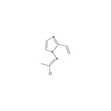 C=Cc1nccn1/N=C(\C)Cl